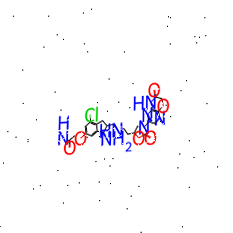 CNC(=O)COc1cc(Cl)c2c(c1)C(N)C(CNCCC1CN(c3cnc4c(n3)NC(=O)CO4)C(=O)O1)C2